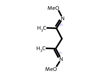 CO/N=C(\C)C/C(C)=N/OC